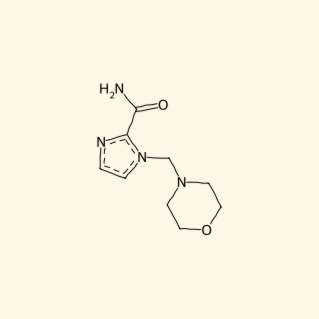 NC(=O)c1nccn1CN1CCOCC1